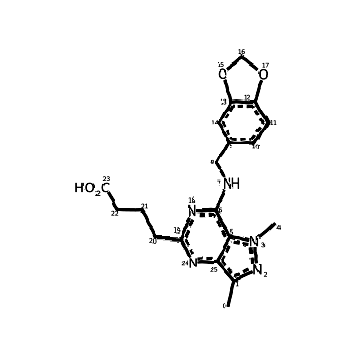 Cc1nn(C)c2c(NCc3ccc4c(c3)OCO4)nc(CCCC(=O)O)nc12